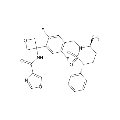 C[C@H]1CC[C@H](c2ccccc2)S(=O)(=O)N1Cc1cc(F)c(C2(NC(=O)c3cocn3)COC2)cc1F